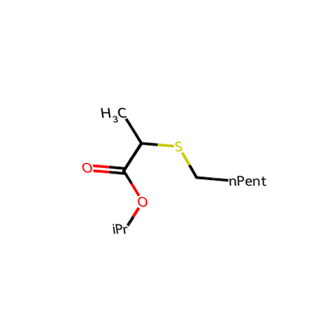 CCCCCCSC(C)C(=O)OC(C)C